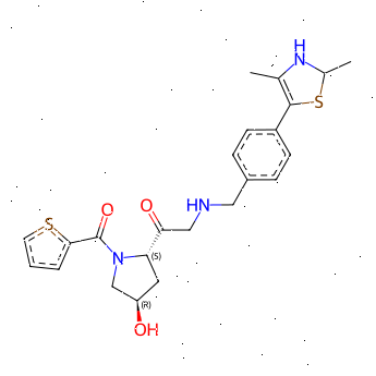 CC1=C(c2ccc(CNCC(=O)[C@@H]3C[C@@H](O)CN3C(=O)c3cccs3)cc2)SC(C)N1